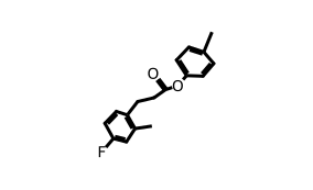 Cc1ccc(OC(=O)CCc2ccc(F)cc2C)cc1